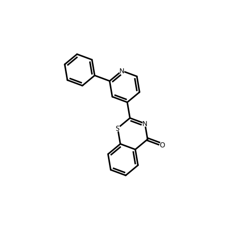 O=c1nc(-c2ccnc(-c3ccccc3)c2)sc2ccccc12